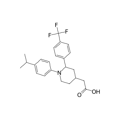 CC(C)c1ccc(N2CCC(CC(=O)O)CC2c2ccc(C(F)(F)F)cc2)cc1